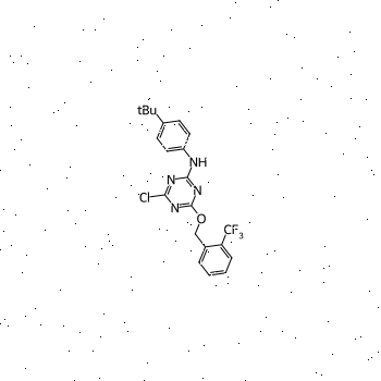 CC(C)(C)c1ccc(Nc2nc(Cl)nc(OCc3ccccc3C(F)(F)F)n2)cc1